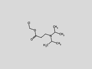 CC(C)N(CCC(=O)OCCl)C(C)C